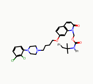 CC(C)CC(C)(C)N(C(=O)OCn1c(=O)ccc2ccc(OCCCCN3CCN(c4cccc(Cl)c4Cl)CC3)cc21)C(C)C